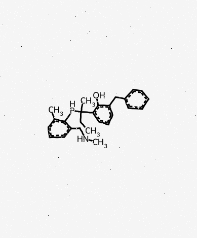 CCC(C)(Pc1c(C)cccc1CNC)c1cccc(Cc2ccccc2)c1O